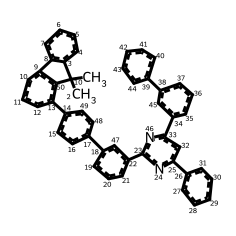 CC1(C)c2ccccc2-c2cccc(-c3ccc(-c4cccc(-c5nc(-c6ccccc6)cc(-c6cccc(-c7ccccc7)c6)n5)c4)cc3)c21